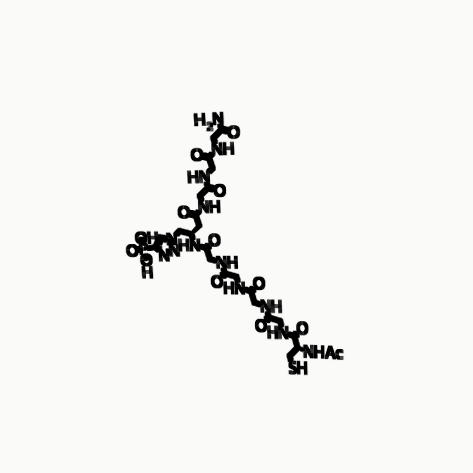 CC(=O)N[C@@H](CS)C(=O)NCC(=O)NCC(=O)NCC(=O)NCC(=O)N[C@H](CC(=O)NCC(=O)NCC(=O)NCC(N)=O)Cn1cc(P(=O)(O)O)nn1